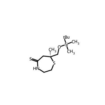 CC(C)(C)[Si](C)(C)OC[C@]1(C)CC(=S)NCCS1